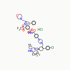 CC1CN(C[C@]2(C)CCC(c3ccc(Cl)cc3)=C(CN3CCN(c4ccc(C(=O)NS(=O)(=O)c5ccc(N[C@H](CCN6CCCOCC6)CSc6ccccc6)c(S(=O)(=O)C(F)(F)F)c5)cc4)CC3)C2)CC(C)N1.Cl